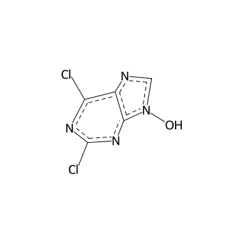 On1cnc2c(Cl)nc(Cl)nc21